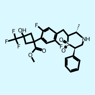 COC(=O)C1(c2cc(F)c(CC3[C@H](C)NC[C@@H](c4ccccc4)S3(=O)=O)cc2F)CC(O)(C(F)(F)F)C1